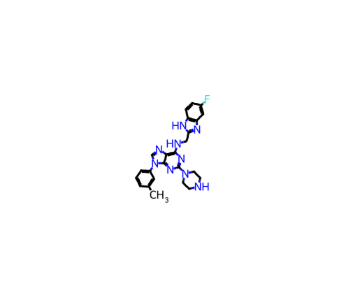 Cc1cccc(-n2cnc3c(NCc4nc5cc(F)ccc5[nH]4)nc(N4CCNCC4)nc32)c1